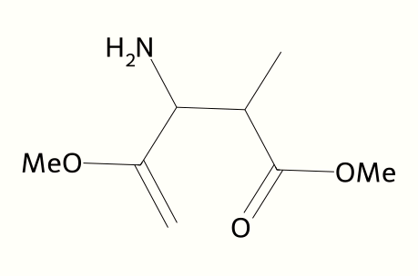 C=C(OC)C(N)C(C)C(=O)OC